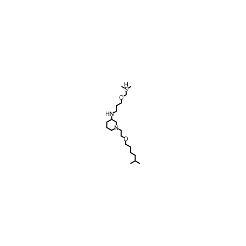 CC(C)CCCCOCCN1CCCC(NCCCOC[SH](C)C)C1